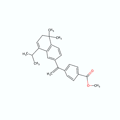 C=C(c1ccc(C(=O)OC)cc1)c1ccc2c(c1)C(C(C)C)=CCC2(C)C